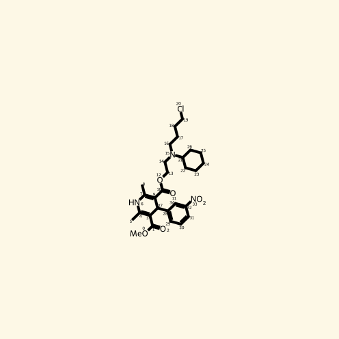 COC(=O)C1=C(C)NC(C)=C(C(=O)OCCN(CCCCCl)C2CCCCC2)C1c1cccc([N+](=O)[O-])c1